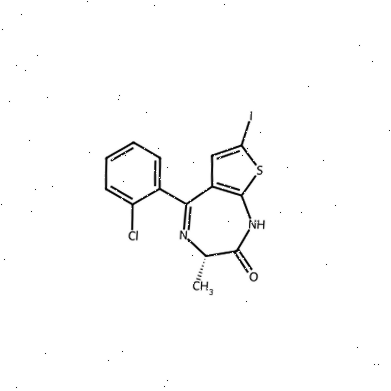 C[C@@H]1N=C(c2ccccc2Cl)c2cc(I)sc2NC1=O